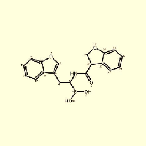 O=C(NC(Cc1coc2ccccc12)B(O)O)C1COc2ccccc21